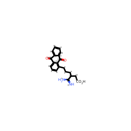 N=C(N)C(CCCc1cccc2c1C(=O)c1ccccc1C2=O)CC(=O)O